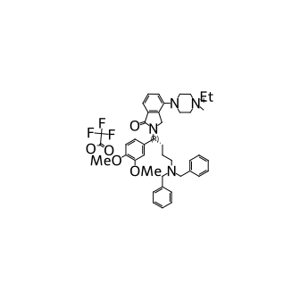 CC[N+]1(C)CCN(c2cccc3c2CN([C@H](CCCN(Cc2ccccc2)Cc2ccccc2)c2ccc(OC)c(OC)c2)C3=O)CC1.O=C([O-])C(F)(F)F